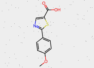 COc1ccc(-c2ncc(C(=O)O)s2)cc1